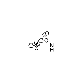 CNCCOc1cc(CS(=O)(=O)c2ccccc2)ccc1-c1ccoc1